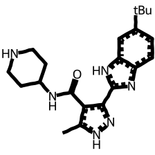 Cc1[nH]nc(-c2nc3ccc(C(C)(C)C)cc3[nH]2)c1C(=O)NC1CCNCC1